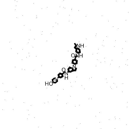 Cc1cc2cc(NC(=O)c3ccc(-n4ccc5cc(NC(=O)c6ccc(N7CCC(O)CC7)cc6)ccc54)cc3)ccc2[nH]1